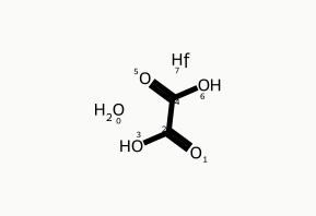 O.O=C(O)C(=O)O.[Hf]